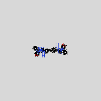 C(=Cc1ccc(Nc2ncnc(N(c3ccccc3)N3CCOCC3)n2)cc1)c1ccc(Nc2ncnc(N(c3ccccc3)N3CCOCC3)n2)cc1